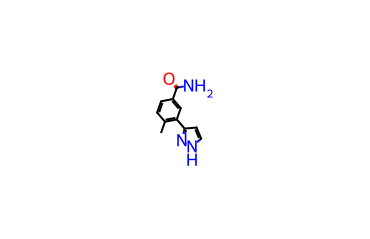 Cc1ccc(C(N)=O)cc1-c1cc[nH]n1